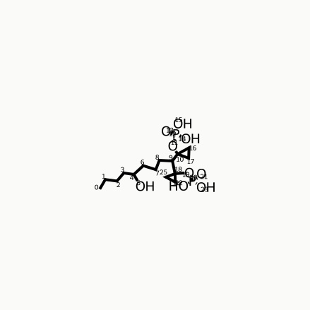 CCCCC(O)CCCC(C1(OP(=O)(O)O)CC1)C1(OP(=O)(O)O)CC1